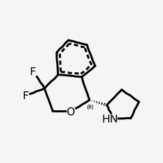 FC1(F)CO[C@@H](C2CCCN2)c2ccccc21